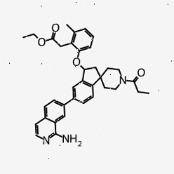 CCOC(=O)Cc1c(C)cccc1OC1CC2(CCN(C(=O)CC)CC2)c2ccc(-c3ccc4ccnc(N)c4c3)cc21